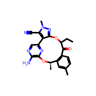 CCC1Oc2nn(C)c(C#N)c2-c2cnc(N)c(n2)O[C@H](C)c2cc(C)ccc2C1=O